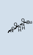 C/C=N/OCC(=O)NCNC(=O)C(C)CC